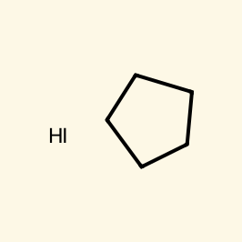 C1CCCC1.I